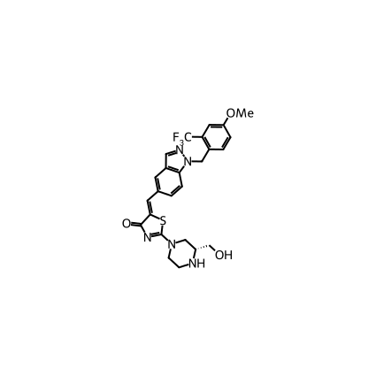 COc1ccc(Cn2ncc3cc(/C=C4\SC(N5CCN[C@@H](CO)C5)=NC4=O)ccc32)c(C(F)(F)F)c1